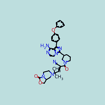 CC(C)(C=C(C#N)C(=O)N1CCCC(c2nc(-c3ccc(Oc4ccccc4)cc3)c3c(N)nccn23)C1)N1CCN2C(=O)OCC2C1